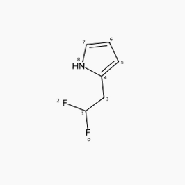 FC(F)Cc1ccc[nH]1